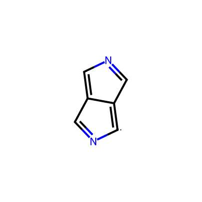 [C]1=C2C=NC=C2C=N1